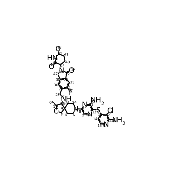 C[C@@H]1OCC2(CCN(c3cnc(Sc4ccnc(N)c4Cl)c(N)n3)CC2)[C@@H]1NCc1cc2c(cc1F)C(=O)N(C1CCC(=O)NC1=O)C2